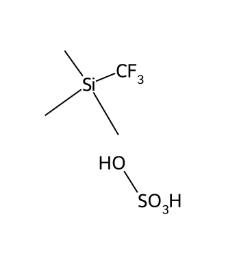 C[Si](C)(C)C(F)(F)F.O=S(=O)(O)O